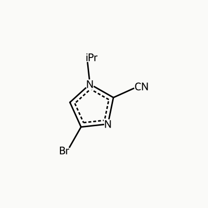 CC(C)n1cc(Br)nc1C#N